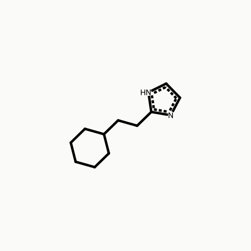 c1c[nH]c(CCC2CCCCC2)n1